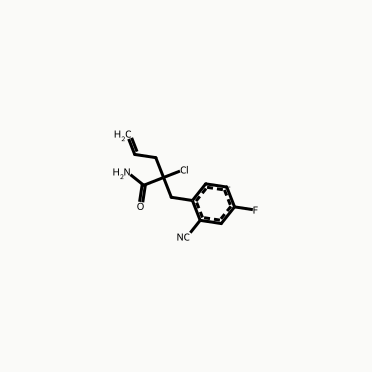 C=CCC(Cl)(Cc1c[c]c(F)cc1C#N)C(N)=O